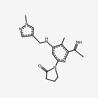 CC(=N)c1nc(N2CCCC2=O)cc(NCc2cnn(C)c2)c1C